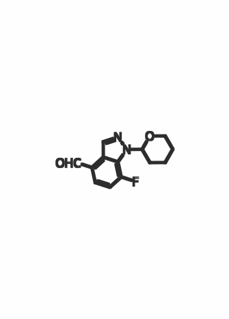 O=Cc1ccc(F)c2c1cnn2C1CCCCO1